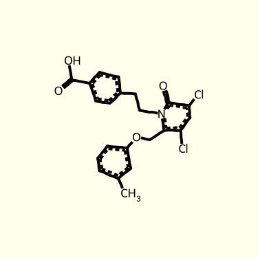 Cc1cccc(OCc2c(Cl)cc(Cl)c(=O)n2CCc2ccc(C(=O)O)cc2)c1